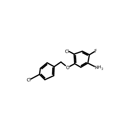 Nc1cc(OCc2ccc(Cl)cc2)c(Cl)cc1F